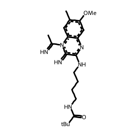 COc1cc2nc(NCCCCNC(=O)C(C)(C)C)c(=N)n(C(C)=N)c2cc1C